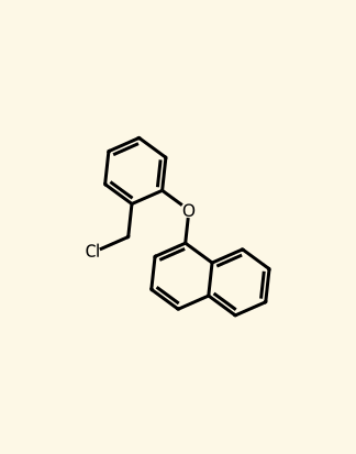 ClCc1ccccc1Oc1cccc2ccccc12